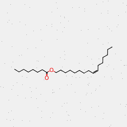 CCCCCC/C=C\CCCCCCCCOC(=O)CCCCCCC